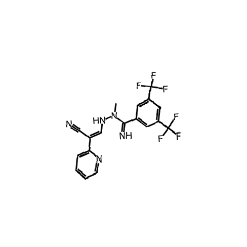 CN(NC=C(C#N)c1ccccn1)C(=N)c1cc(C(F)(F)F)cc(C(F)(F)F)c1